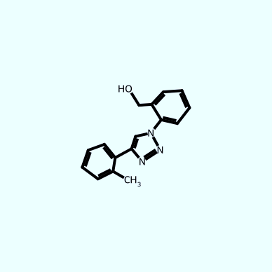 Cc1ccccc1-c1cn(-c2ccccc2CO)nn1